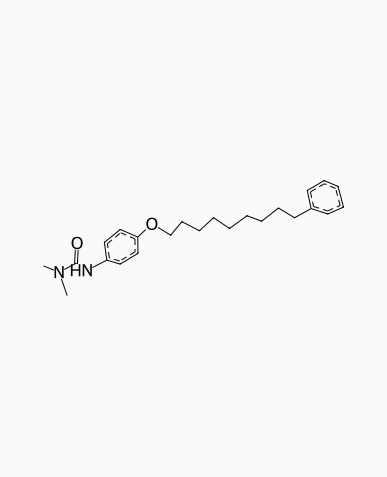 CN(C)C(=O)Nc1ccc(OCCCCCCCCCc2ccccc2)cc1